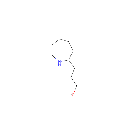 [O]CCCC1CCCCCN1